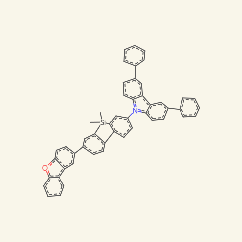 C[Si]1(C)c2cc(-c3ccc4oc5ccccc5c4c3)ccc2-c2ccc(-n3c4ccc(-c5ccccc5)cc4c4cc(-c5ccccc5)ccc43)cc21